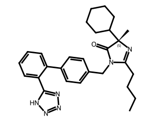 CCCCC1=N[C@@](C)(C2CCCCC2)C(=O)N1Cc1ccc(-c2ccccc2-c2nnn[nH]2)cc1